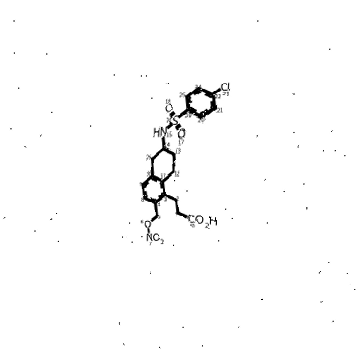 O=C(O)CCc1c(CO[N+](=O)[O-])ccc2c1CCC(NS(=O)(=O)c1ccc(Cl)cc1)C2